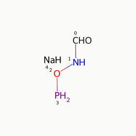 O=CNOP.[NaH]